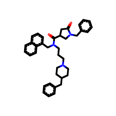 O=C1CC(C(=O)N(CCCN2CCC(Cc3ccccc3)CC2)Cc2cccc3ccccc23)CN1Cc1ccccc1